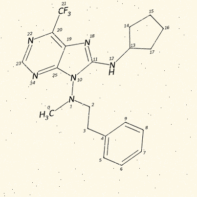 CN(CCc1ccccc1)n1c(NC2CCCC2)nc2c(C(F)(F)F)ncnc21